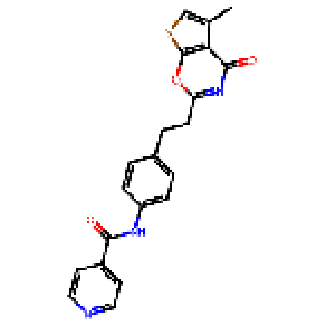 Cc1csc2oc(CCc3ccc(NC(=O)c4ccncc4)cc3)nc(=O)c12